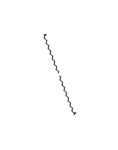 O=C(O)CCCCCCCCCCCCCCSCCCCCCCCCCCCCCC(=O)O